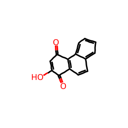 O=C1C(O)=CC(=O)c2c1ccc1ccccc21